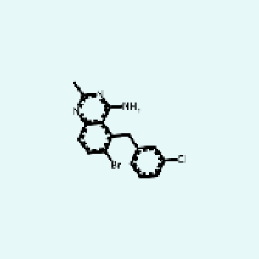 Cc1nc(N)c2c(Cc3cccc(Cl)c3)c(Br)ccc2n1